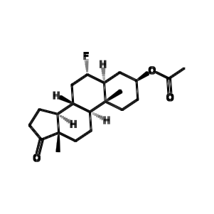 CC(=O)O[C@H]1CC[C@@]2(C)[C@H](C1)[C@@H](F)C[C@@H]1[C@@H]2CC[C@]2(C)C(=O)CC[C@@H]12